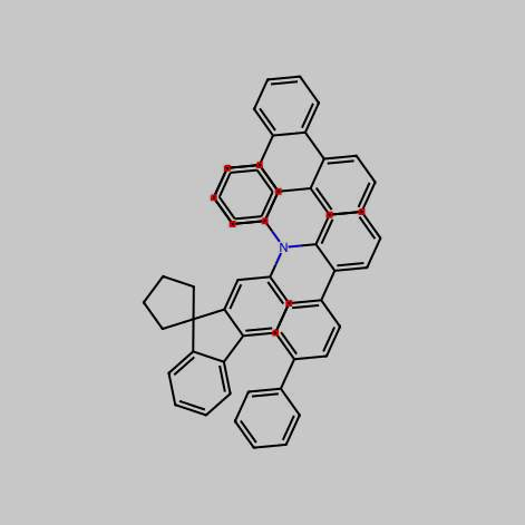 c1ccc(-c2ccc(-c3ccccc3N(c3ccc4c(c3)C3(CCCC3)c3ccccc3-4)c3ccccc3-c3ccccc3-c3ccccc3-c3ccccc3)cc2)cc1